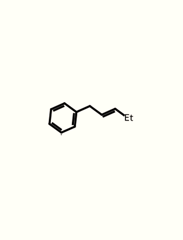 CCC=CCc1c[c]ccc1